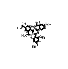 CCOc1ccc(-c2nc(-c3ccc(OCC)cc3C(C)O)nc(-c3ccc(C(C)O)cc3C(C)O)n2)c(OCC)c1